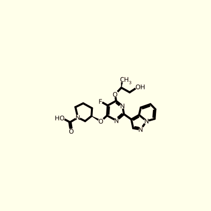 C[C@@H](CO)Oc1nc(-c2cnn3ccccc23)nc(O[C@@H]2CCCN(C(=O)O)C2)c1F